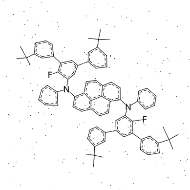 CC(C)(C)c1cccc(-c2cc(-c3cccc(C(C)(C)C)c3)c(F)c(N(c3ccccc3)c3ccc4ccc5c(N(c6ccccc6)c6cc(-c7cccc(C(C)(C)C)c7)cc(-c7cccc(C(C)(C)C)c7)c6F)ccc6ccc3c4c65)c2)c1